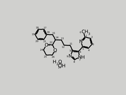 Cc1cccc(-c2[nH]cnc2CCCC(Cc2ccccc2)C2OCCCO2)n1.Cl.O